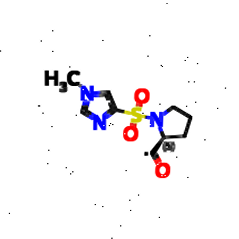 Cn1cnc(S(=O)(=O)N2CCC[C@H]2[C]=O)c1